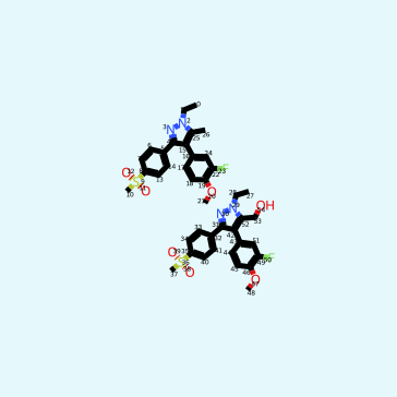 CCn1nc(-c2ccc(S(C)(=O)=O)cc2)c(-c2ccc(OC)c(F)c2)c1C.CCn1nc(-c2ccc(S(C)(=O)=O)cc2)c(-c2ccc(OC)c(F)c2)c1CO